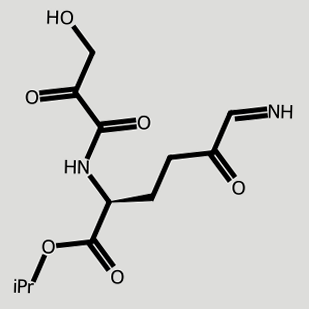 CC(C)OC(=O)[C@H](CCC(=O)C=N)NC(=O)C(=O)CO